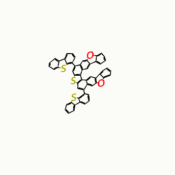 c1ccc2c(c1)oc1cc3c(-c4cccc5c4sc4ccccc45)cc4sc5cc(-c6cccc7c6sc6ccccc67)c6cc7oc8ccccc8c7cc6c5c4c3cc12